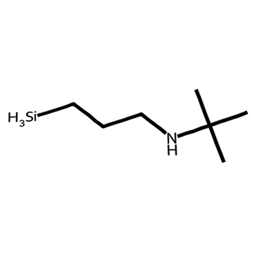 CC(C)(C)NCCC[SiH3]